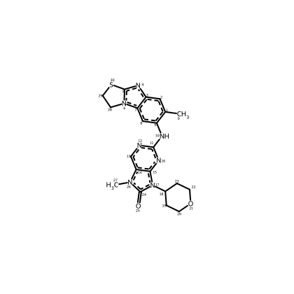 Cc1cc2nc3n(c2cc1Nc1ncc2c(n1)n(C1CCOCC1)c(=O)n2C)CCS3